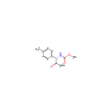 CNC(=O)[C@@H](NC(=O)OC(C)(C)C)c1ccc(C)cc1